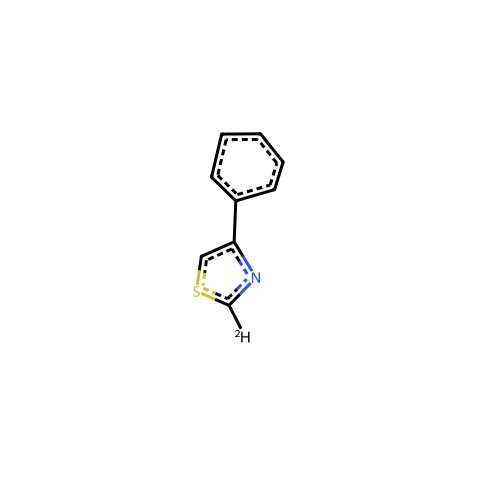 [2H]c1nc(-c2ccccc2)cs1